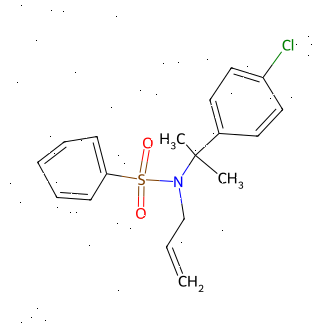 C=CCN(C(C)(C)c1ccc(Cl)cc1)S(=O)(=O)c1ccccc1